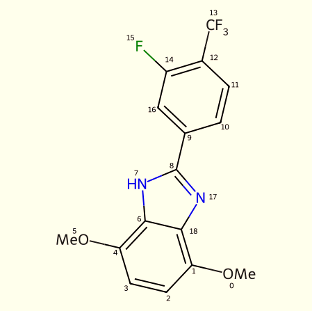 COc1ccc(OC)c2[nH]c(-c3ccc(C(F)(F)F)c(F)c3)nc12